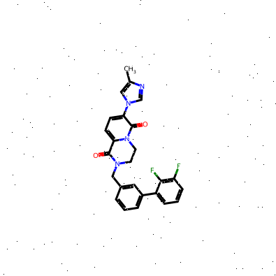 Cc1cn(-c2ccc3n(c2=O)CCN(Cc2cccc(-c4cccc(F)c4F)c2)C3=O)cn1